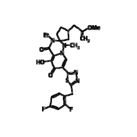 C=C(CC1CCC2(C1)N(CC)C(=O)c1c(O)c(=O)c(-c3nnc(Cc4ccc(F)cc4F)s3)cn1N2C)OC